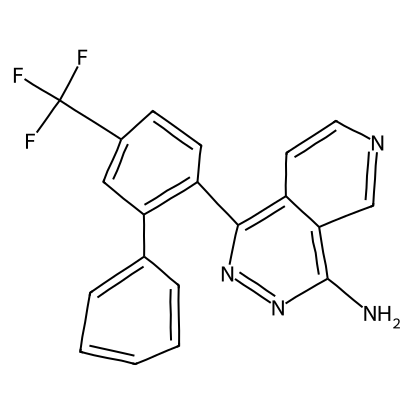 Nc1nnc(-c2ccc(C(F)(F)F)cc2-c2ccccc2)c2ccncc12